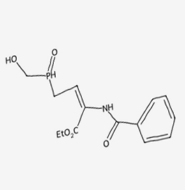 CCOC(=O)/C(=C\C[PH](=O)CO)NC(=O)c1ccccc1